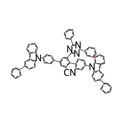 N#Cc1cc(-c2ccc(-n3c4ccccc4c4cc(-c5ccccc5)ccc43)cc2)cc(-c2nc(-c3ccccc3)nc(-c3ccccc3)n2)c1-c1ccc(-n2c3ccccc3c3cc(-c4ccccc4)ccc32)cc1